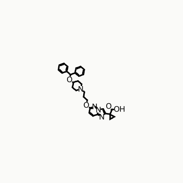 O=C(O)C1(c2cn3nc(OCCCN4CCC(OC(c5ccccc5)c5ccccc5)CC4)ccc3n2)CC1